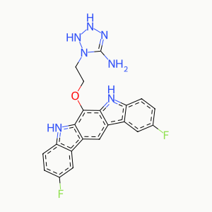 NC1=NNNN1CCOc1c2[nH]c3ccc(F)cc3c2cc2c1[nH]c1ccc(F)cc12